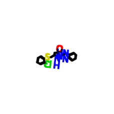 O=c1cc(CSc2ccccc2Cl)[nH]n1-c1nc2ccccc2[nH]1